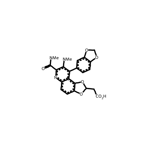 CNC(=O)c1nc2ccc3c(c2c(-c2ccc4c(c2)OCO4)c1NC)OC(CC(=O)O)O3